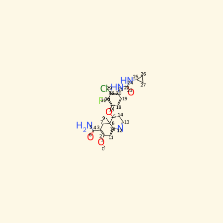 COC1=C(C(N)=O)CC2(C)C(=C1)N=CCC2Oc1ccc(NC(=O)NC2CC2)c(Cl)c1F